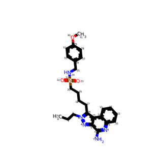 CCCn1nc2c(N)nc3ccccc3c2c1CCCCS(=O)(=O)NCc1ccc(OC)cc1